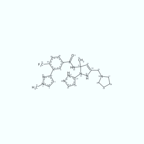 Cn1ccc(-c2cc(C(=O)NC3(C)C=C(CN4CCCC4)NN3c3ccn[nH]3)ccc2C(F)(F)F)n1